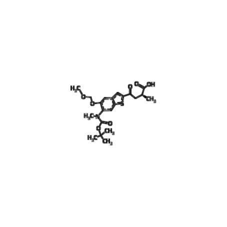 COCOc1cc2cc(C(=O)C[C@H](C)C(=O)O)sc2cc1N(C)C(=O)OC(C)(C)C